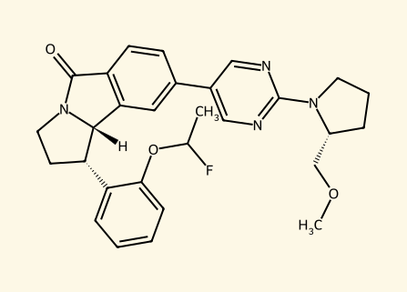 COC[C@H]1CCCN1c1ncc(-c2ccc3c(c2)[C@@H]2[C@H](c4ccccc4OC(C)F)CCN2C3=O)cn1